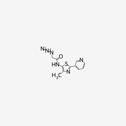 Cc1nc(-c2cccnc2)sc1NC(=O)CN=[N+]=[N-]